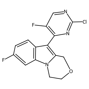 Fc1ccc2c(-c3nc(Cl)ncc3F)c3n(c2c1)CCOC3